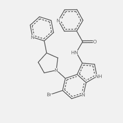 O=C(Nc1c[nH]c2ncc(Br)c(N3CCC(c4ccccn4)C3)c12)c1cccnc1